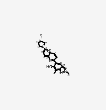 Cc1c(O)c(-c2ccc3nc(N4CC[C@H](C)C4)ccc3n2)cc2cn(C)nc12